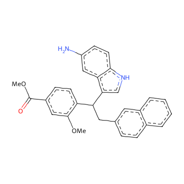 COC(=O)c1ccc(C(Cc2ccc3ccccc3c2)c2c[nH]c3ccc(N)cc23)c(OC)c1